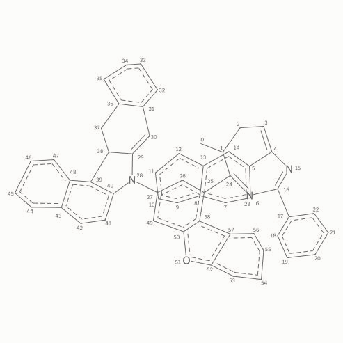 CC1C/C=C(c2ccc3ccccc3c2)/N=C(c2ccccc2)\N=C/1c1cc(N2C3=Cc4ccccc4CC3c3c2ccc2ccccc32)cc2oc3ccccc3c12